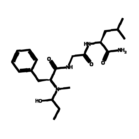 CCC(O)N(C)[C@@H](Cc1ccccc1)C(=O)NCC(=O)N[C@@H](CC(C)C)C(N)=O